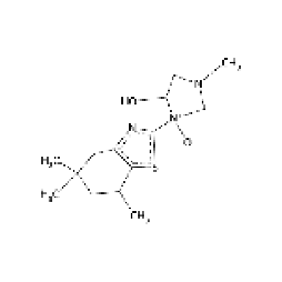 CC1CC(C)(C)Cc2nc([N+]3([O-])CN(C)CC3O)sc21